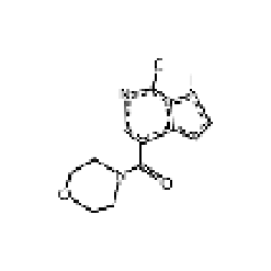 O=C(c1cnc(Cl)c2[nH]ccc12)N1CCOCC1